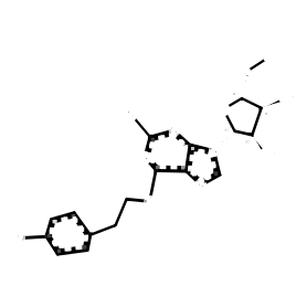 CC(=O)OC[C@H]1O[C@@H](n2cnc3c(OCCc4ccc([N+](=O)[O-])cc4)nc(N)nc32)[C@H](OC(C)=O)[C@@H]1OC(C)=O